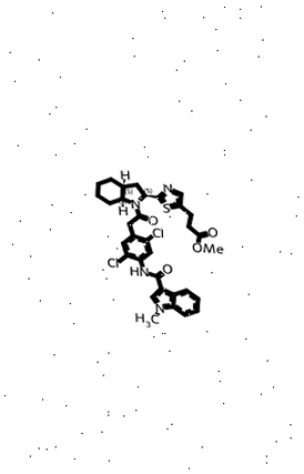 COC(=O)CCc1cnc([C@@H]2C[C@@H]3CCCC[C@@H]3N2C(=O)Cc2cc(Cl)c(NC(=O)c3cn(C)c4ccccc34)cc2Cl)s1